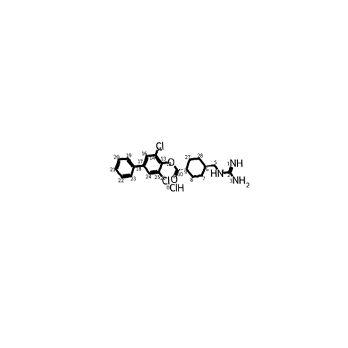 Cl.N=C(N)NC[C@H]1CC[C@H](C(=O)Oc2c(Cl)cc(-c3ccccc3)cc2Cl)CC1